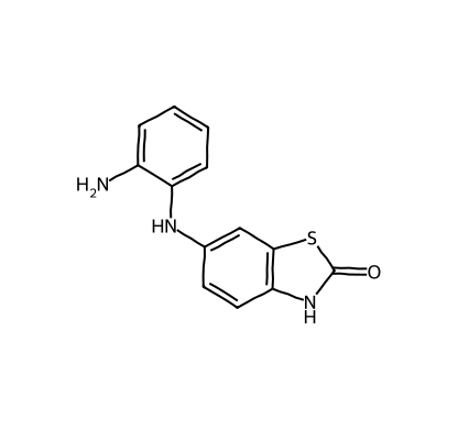 Nc1ccccc1Nc1ccc2[nH]c(=O)sc2c1